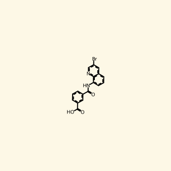 O=C(O)c1cccc(C(=O)Nc2cccc3cc(Br)cnc23)c1